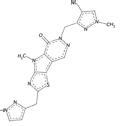 Cn1cc(C#N)c(Cn2ncc3c4sc(Cc5cc[nH]n5)nc4n(C)c3c2=O)n1